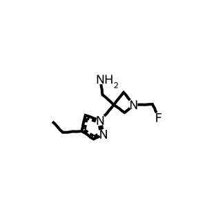 CCc1cnn(C2(CN)CN(CF)C2)c1